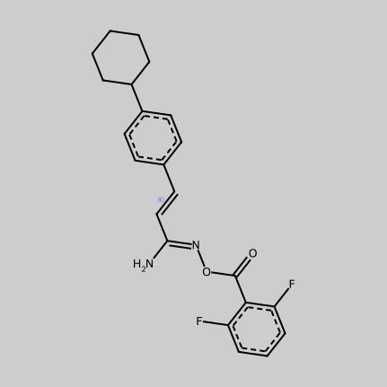 NC(/C=C/c1ccc(C2CCCCC2)cc1)=NOC(=O)c1c(F)cccc1F